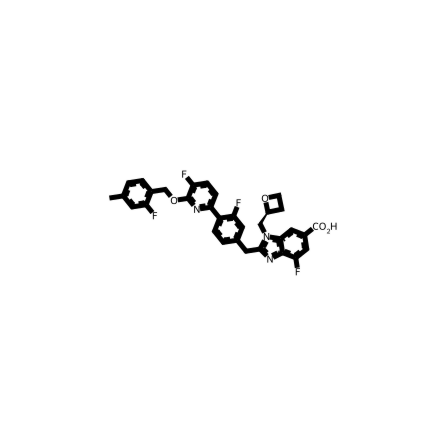 Cc1ccc(COc2nc(-c3ccc(Cc4nc5c(F)cc(C(=O)O)cc5n4C[C@@H]4CCO4)cc3F)ccc2F)c(F)c1